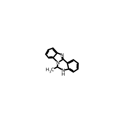 CC1Nc2ccccc2-c2nc3ccccc3n21